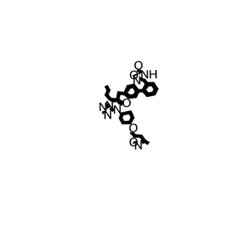 CCCc1c(Cc2ccc(-c3ccccc3-c3noc(=O)[nH]3)cc2)c(=O)n([C@H]2CC[C@H](OCC3CC(C)=NO3)CC2)c2ncnn12